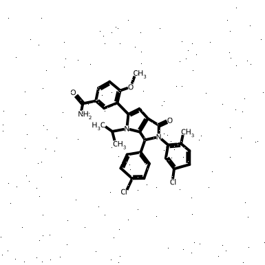 COc1ccc(C(N)=O)cc1-c1cc2c(n1C(C)C)C(c1ccc(Cl)cc1)N(c1cc(Cl)ccc1C)C2=O